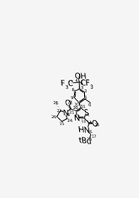 Cc1cc(C(O)(C(F)(F)F)C(F)(F)F)ccc1-c1sc(C(=O)NCC(C)(C)C)nc1C(=O)N1CCC[C@@H]1C